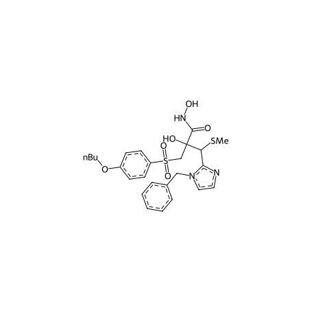 CCCCOc1ccc(S(=O)(=O)CC(O)(C(=O)NO)C(SC)c2nccn2Cc2ccccc2)cc1